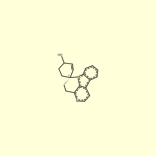 OC1C=C[C@]2(CCc3nccc4c5ccccc5n2c34)CC1